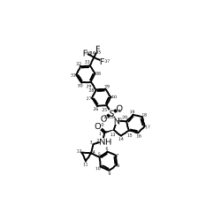 O=C(NCC1(c2ccccc2)CC1)[C@@H]1Cc2ccccc2N1S(=O)(=O)c1ccc(-c2cccc(C(F)(F)F)c2)cc1